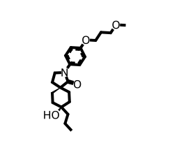 CCC[C@]1(O)CC[C@]2(CCN(c3ccc(OCCCOC)cc3)C2=O)CC1